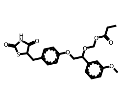 CCC(=O)OCOC(COc1ccc(CC2SC(=O)NC2=O)cc1)c1cccc(OC)c1